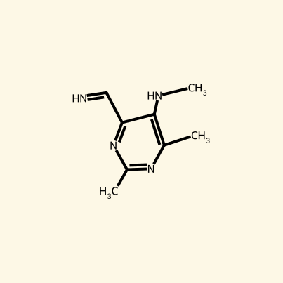 CNc1c(C)nc(C)nc1C=N